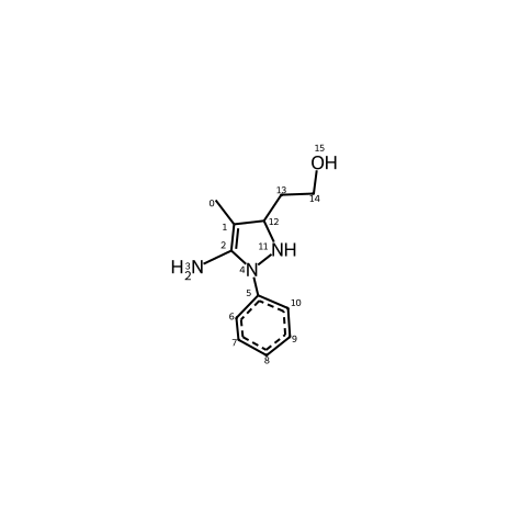 CC1=C(N)N(c2ccccc2)NC1CCO